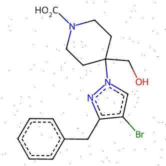 O=C(O)N1CCC(CO)(n2cc(Br)c(Cc3ccccc3)n2)CC1